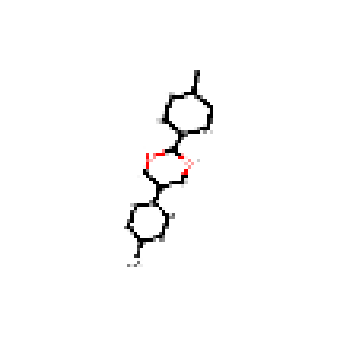 CCC1CCC(C2COC(C3CCC(C)CC3)OC2)CC1